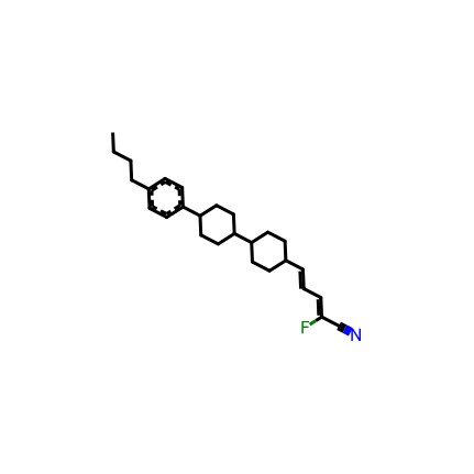 CCCCc1ccc(C2CCC(C3CCC(C=CC=C(F)C#N)CC3)CC2)cc1